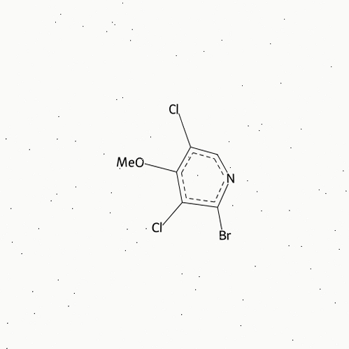 COc1c(Cl)cnc(Br)c1Cl